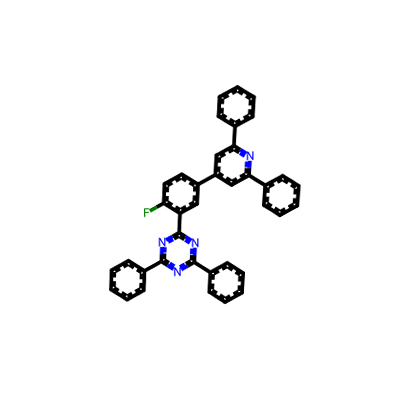 Fc1ccc(-c2cc(-c3ccccc3)nc(-c3ccccc3)c2)cc1-c1nc(-c2ccccc2)nc(-c2ccccc2)n1